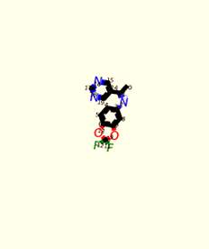 C/C(=N/c1ccc2c(c1)OC(F)(F)O2)c1cncnc1